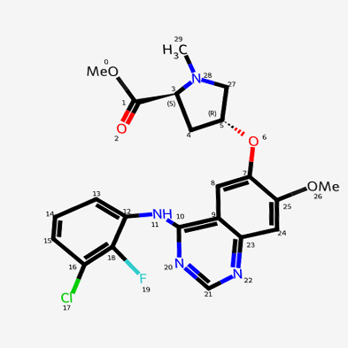 COC(=O)[C@@H]1C[C@@H](Oc2cc3c(Nc4cccc(Cl)c4F)ncnc3cc2OC)CN1C